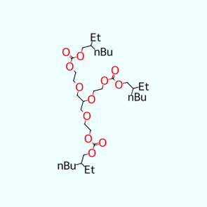 CCCCC(CC)COC(=O)OCCOCC(COCCOC(=O)OCC(CC)CCCC)OCCOC(=O)OCC(CC)CCCC